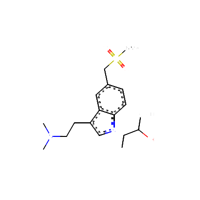 CNS(=O)(=O)Cc1ccc2[nH]cc(CCN(C)C)c2c1.O=C(O)CC(O)C(=O)O